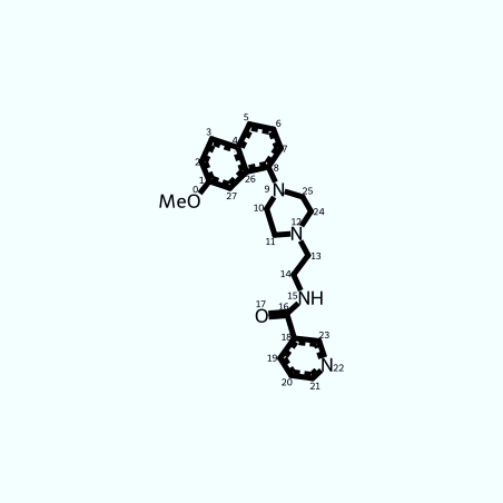 COc1ccc2cccc(N3CCN(CCNC(=O)c4cccnc4)CC3)c2c1